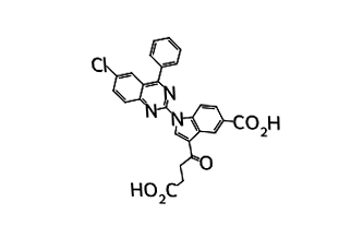 O=C(O)CCC(=O)c1cn(-c2nc(-c3ccccc3)c3cc(Cl)ccc3n2)c2ccc(C(=O)O)cc12